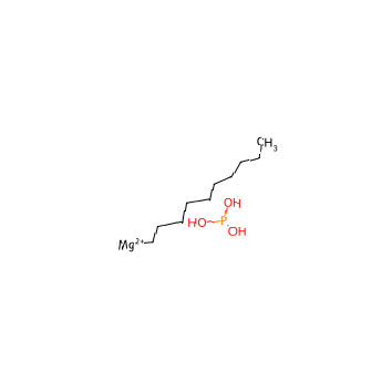 CCCCCCCCC[CH2][Mg+2].OP(O)O